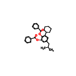 CC(C)Cc1cc(OC(=O)c2ccccc2)c(OC(=O)c2ccccc2)c(C2CCCCC2)c1